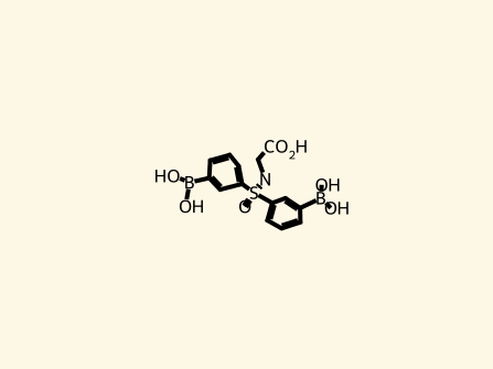 O=C(O)CN=S(=O)(c1cccc(B(O)O)c1)c1cccc(B(O)O)c1